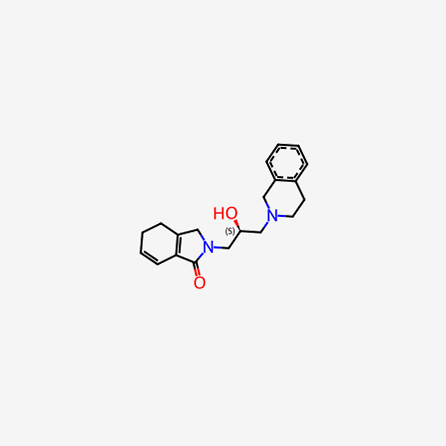 O=C1C2=C(CCC=C2)CN1C[C@@H](O)CN1CCc2ccccc2C1